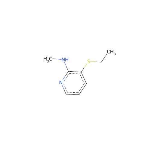 CCSc1cccnc1NC